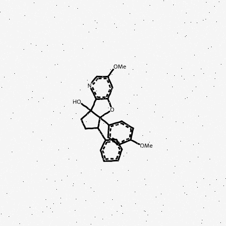 COc1ccc(C23Oc4cc(OC)cnc4C2(O)CCC3c2ccccc2)cc1